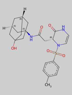 Cc1ccc(S(=O)(=O)N2C=CNC(=O)[C@H]2CC(=O)N[C@]23C[C@@H]4C[C@@H](CC(O)(C4)C2)C3)cc1